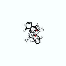 C[C@H](Oc1nc(Cl)c(F)c2nc[nH]c(=O)c12)[C@@H]1NC[C@@H]2CC[C@H]1N2C(=O)OC(C)(C)C